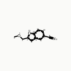 CO[CH]c1cc2cc(C#N)ccc2o1